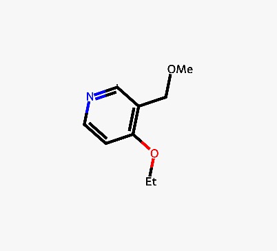 CCOc1ccn[c]c1COC